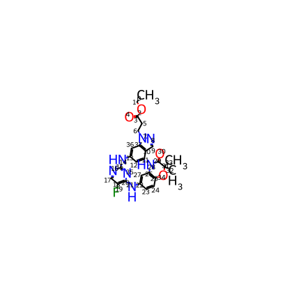 CCOC(=O)CCn1ncc2ccc(Nc3ncc(F)c(Nc4ccc5c(c4)NC(=O)C(C)(C)O5)n3)cc21